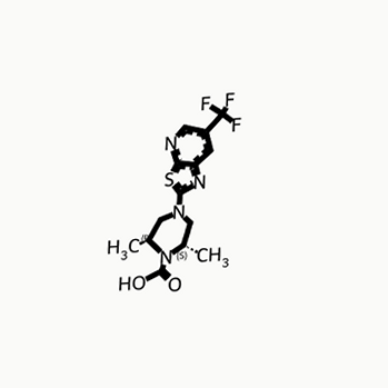 C[C@@H]1CN(c2nc3cc(C(F)(F)F)cnc3s2)C[C@H](C)N1C(=O)O